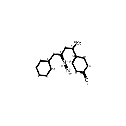 CCC(CC(CC1CCCCC1)=[N+]=[N-])C1CCC(=O)CC1